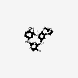 CC1(Cl)CC(Nc2ncc(F)c(Nc3ccc4c(c3)-n3ccnc3CO4)n2)=CC=C1O